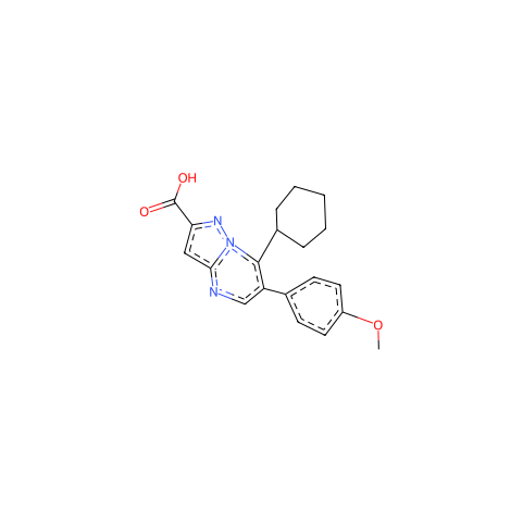 COc1ccc(-c2cnc3cc(C(=O)O)nn3c2C2CCCCC2)cc1